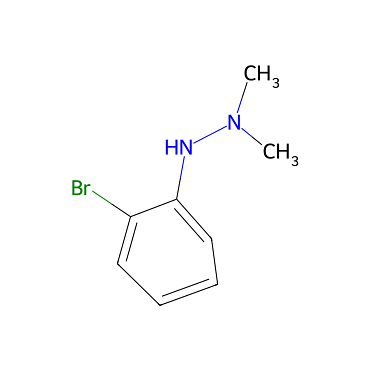 CN(C)Nc1ccccc1Br